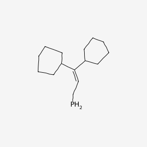 PCC=C(C1CCCCC1)C1CCCCC1